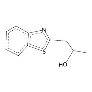 CC(O)Cc1nc2ccccc2s1